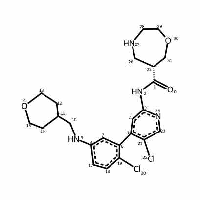 O=C(Nc1cc(-c2cc(NCC3CCOCC3)ccc2Cl)c(Cl)cn1)[C@@H]1CNCCOC1